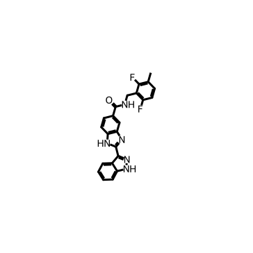 Cc1ccc(F)c(CNC(=O)c2ccc3[nH]c(-c4n[nH]c5ccccc45)nc3c2)c1F